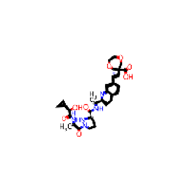 C[C@H](NC(=O)C(O)C1CC1)C(=O)N1CCC[C@@H](C(=O)N[C@H](C)c2ccc3ccc(/C=C/C4(C(=O)O)COCCOC4)cc3n2)N1